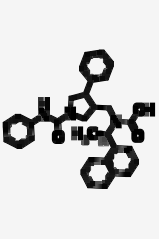 C[C@H](c1cccc2ccccc12)N(CC1CN(C(=O)Nc2ccccc2)CC1c1ccccc1)C(=O)O